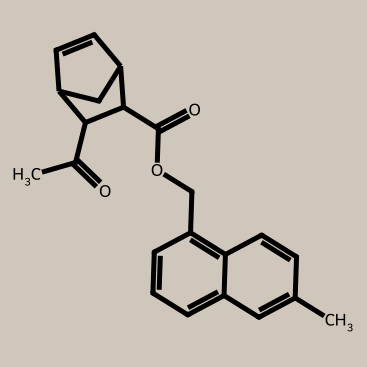 CC(=O)C1C2C=CC(C2)C1C(=O)OCc1cccc2cc(C)ccc12